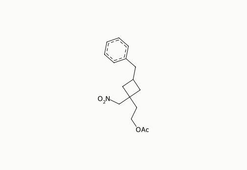 CC(=O)OCCC1(C[N+](=O)[O-])CC(Cc2ccccc2)C1